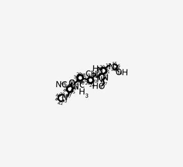 Cc1c(Nc2nc(CO)nc3cc(CN4CC[C@@H](O)C4)cnc23)cccc1-c1cccc(-c2nc3cc(CN4CCCCC4)cc(C#N)c3o2)c1C